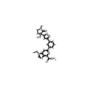 CCn1cnc2c(C(N)=O)nc(-c3cccc(-c4cc([C@]5(O)CCN(C)C5=O)on4)c3)cc21